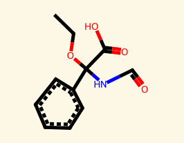 CCOC(NC=O)(C(=O)O)c1ccccc1